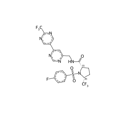 O=C(NCc1cc(-c2cnc(C(F)(F)F)nc2)ncn1)[C@@H]1CC[C@H](C(F)(F)F)N1S(=O)(=O)c1ccc(F)cc1